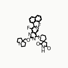 O=C1CC2(CCCN(c3nc(OCC45CCCN4CCC5)nc4c(F)c(-c5cccc6cccc(F)c56)ncc34)C2)C(=O)N1